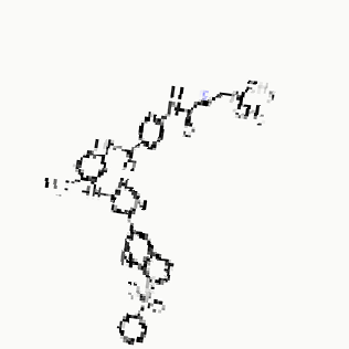 Cc1ccc(NC(=O)c2ccc(NC(=O)/C=C/CN(C)C)cc2)cc1Nc1cc(-c2cnc3c(ccn3S(=O)(=O)c3ccccc3)c2)ncn1